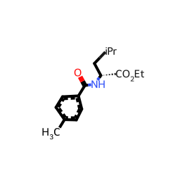 CCOC(=O)[C@@H](CC(C)C)NC(=O)c1ccc(C)cc1